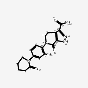 [2H]c1cc(N2CCCCC2=O)ccc1N1CCc2c(C(N)=O)n[nH]c2C1=O